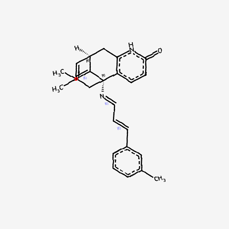 C/C=C1\[C@H]2C=C(C)C[C@]1(/N=C/C=C/c1cccc(C)c1)c1ccc(=O)[nH]c1C2